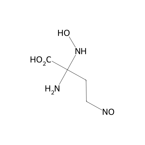 NC(CCN=O)(NO)C(=O)O